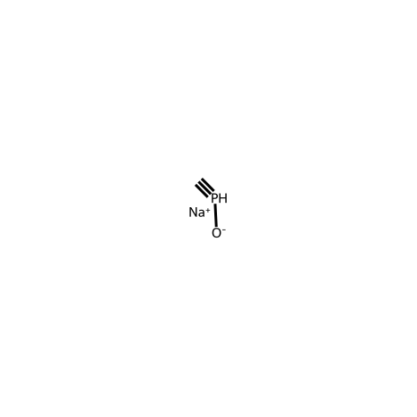 C#[PH][O-].[Na+]